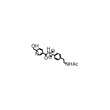 CC(=O)NCCc1ccc(S(=O)(=O)NC(=O)c2ccc(CO)nc2)cc1